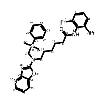 CC(C)c1cccc(C(C)C)c1NC(=O)CCCCCN(C[Si](C)(C)c1ccccc1)c1nc2ncccc2o1